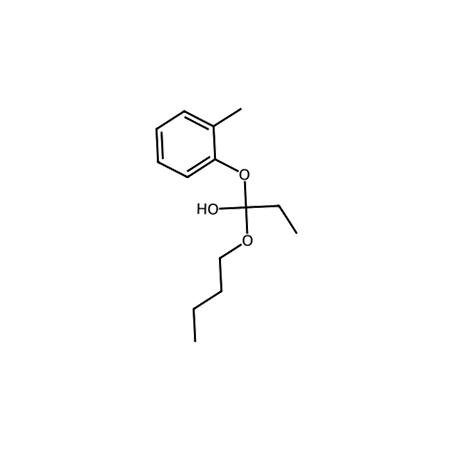 CCCCOC(O)(CC)Oc1ccccc1C